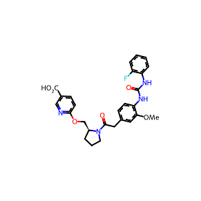 COc1cc(CC(=O)N2CCC[C@H]2COc2ccc(C(=O)O)cn2)ccc1NC(=O)Nc1ccccc1F